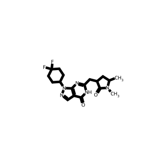 CC1CC(Cc2nc3c(cnn3C3CCC(F)(F)CC3)c(=O)[nH]2)C(=O)N1C